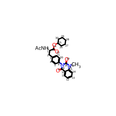 CC(=O)N[C@@H](Cc1ccc(-n2c(=O)c3ccccc3n(C)c2=O)cc1)C(=O)OC1CCCCC1